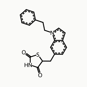 O=C1NC(=O)C(Cc2ccc3ccn(CCc4ccccc4)c3c2)S1